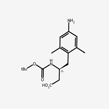 Cc1cc(N)cc(C)c1C[C@@H](CC(=O)O)NC(=O)OC(C)(C)C